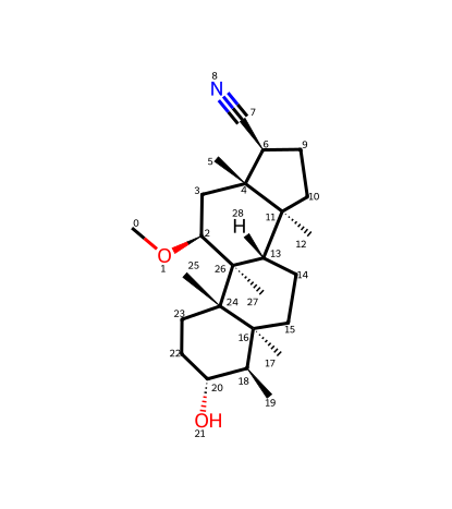 CO[C@H]1C[C@]2(C)[C@@H](C#N)CC[C@@]2(C)[C@@H]2CC[C@@]3(C)[C@@H](C)[C@H](O)CC[C@]3(C)[C@@]12C